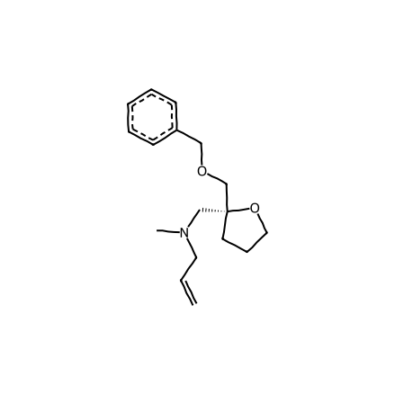 C=CCN(C)C[C@@]1(COCc2ccccc2)CCCO1